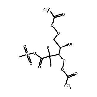 CS(=O)(=O)OC(=O)C(F)(F)[C@H](OOC(=O)C(Cl)(Cl)Cl)[C@H](O)COOC(=O)C(Cl)(Cl)Cl